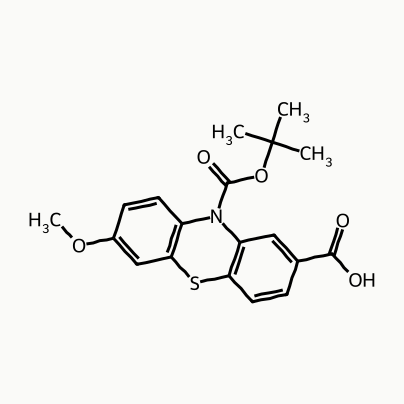 COc1ccc2c(c1)Sc1ccc(C(=O)O)cc1N2C(=O)OC(C)(C)C